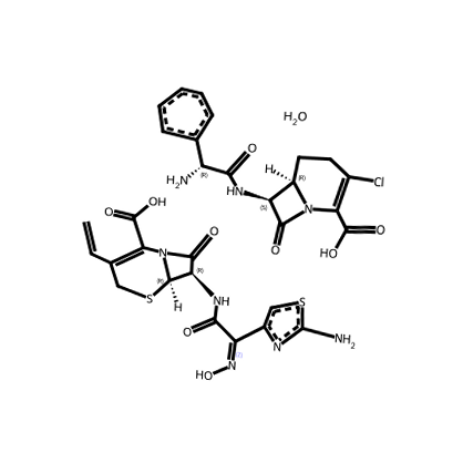 C=CC1=C(C(=O)O)N2C(=O)[C@@H](NC(=O)/C(=N\O)c3csc(N)n3)[C@H]2SC1.N[C@@H](C(=O)N[C@@H]1C(=O)N2C(C(=O)O)=C(Cl)CC[C@H]12)c1ccccc1.O